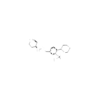 FC(F)(F)c1cc(CON=C2C=COCC2)ccc1C1CCCCC1